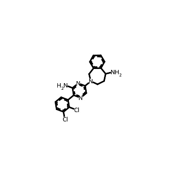 Nc1nc(N2CCC(N)c3ccccc3C2)cnc1-c1cccc(Cl)c1Cl